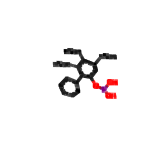 CCCCCCCCCc1cc(OP(O)O)c(-c2ccccc2)c(CCCCCCCCC)c1CCCCCCCCC